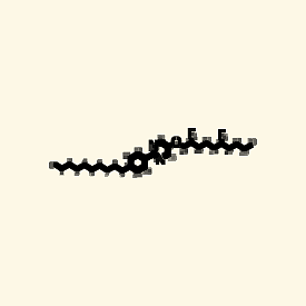 CCCCCCCCCCc1ccc(-c2ncc(OCC(F)CCCC(F)CCCC)cn2)cc1